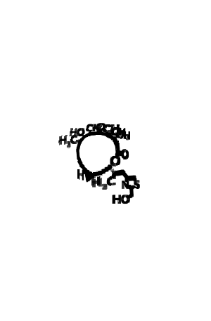 C/C(=C\c1csc(CO)n1)[C@@H]1C[C@@H]2C[C@@H]2CCC[C@H](C)[C@H](O)[C@@H](C)C(=O)C(C)(C)[C@@H](O)CC(=O)O1